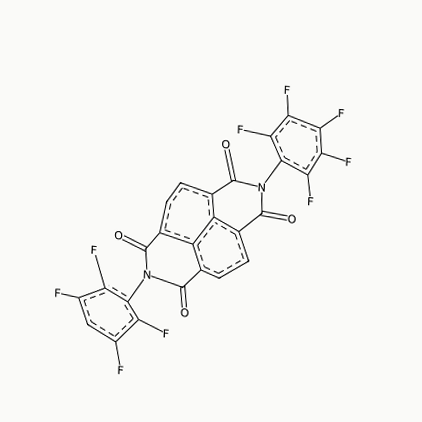 O=C1c2ccc3c4c(ccc(c24)C(=O)N1c1c(F)c(F)cc(F)c1F)C(=O)N(c1c(F)c(F)c(F)c(F)c1F)C3=O